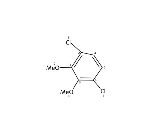 COc1c(Cl)ccc(Cl)c1OC